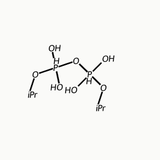 CC(C)O[PH](O)(O)O[PH](O)(O)OC(C)C